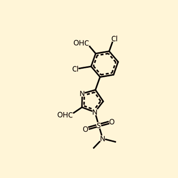 CN(C)S(=O)(=O)n1cc(-c2ccc(Cl)c(C=O)c2Cl)nc1C=O